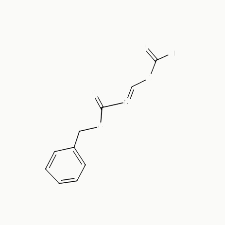 CC(=O)OC=NC(=O)OCc1ccccc1